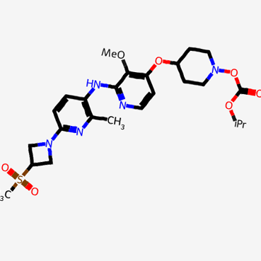 COc1c(OC2CCN(OC(=O)OC(C)C)CC2)ccnc1Nc1ccc(N2CC(S(C)(=O)=O)C2)nc1C